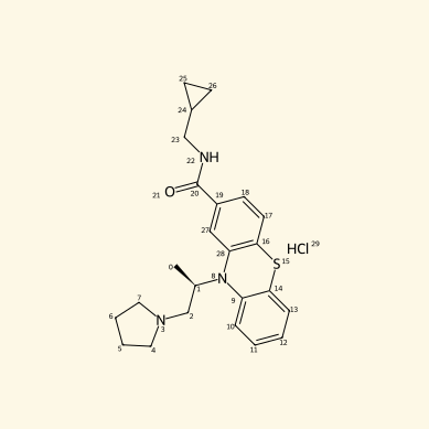 C[C@H](CN1CCCC1)N1c2ccccc2Sc2ccc(C(=O)NCC3CC3)cc21.Cl